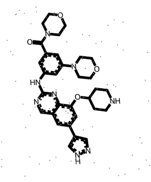 O=C(c1cc(Nc2ncc3cc(-c4cn[nH]c4)cc(OC4CCNCC4)c3n2)cc(N2CCOCC2)c1)N1CCOCC1